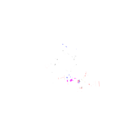 CC(O)(O)c1cc(N)ccc1N.O=S(=O)(O)O